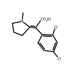 CCOC(=O)C(=C1CCCN1C)c1ccc(Cl)cc1Cl